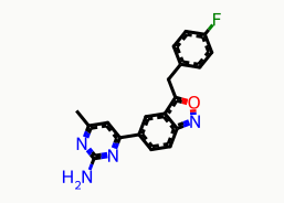 Cc1cc(-c2ccc3noc(Cc4ccc(F)cc4)c3c2)nc(N)n1